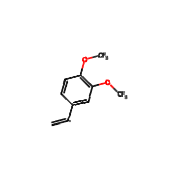 C=[C]c1ccc(OC(F)(F)F)c(OC(F)(F)F)c1